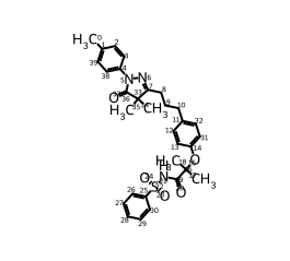 Cc1ccc(N2N=C(CCCc3ccc(OC(C)(C)C(=O)NS(=O)(=O)c4ccccc4)cc3)C(C)(C)C2=O)cc1